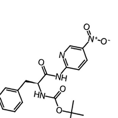 CC(C)(C)OC(=O)N[C@@H](Cc1ccccc1)C(=O)Nc1ccc([N+](=O)[O-])cn1